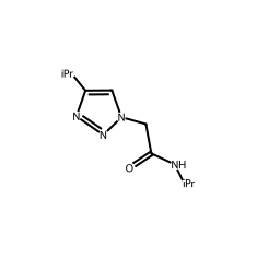 CC(C)NC(=O)Cn1cc(C(C)C)nn1